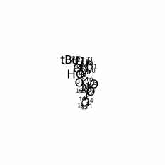 CC(C(=O)N1C(=O)OC(c2ccccc2)C1C)C(O)[C@@H]1CC[C@H](C)N1C(=O)OC(C)(C)C